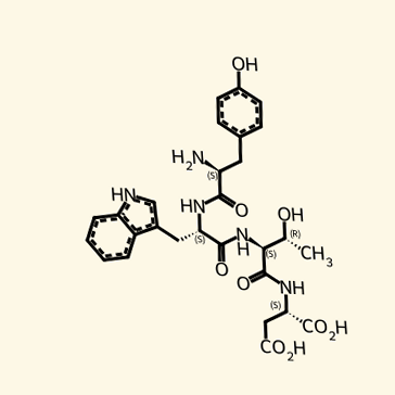 C[C@@H](O)[C@H](NC(=O)[C@H](Cc1c[nH]c2ccccc12)NC(=O)[C@@H](N)Cc1ccc(O)cc1)C(=O)N[C@@H](CC(=O)O)C(=O)O